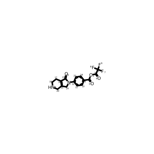 O=C(OC(=O)C(F)(F)F)c1ccc(N2CC3=C(CCNC3)C2=O)cc1